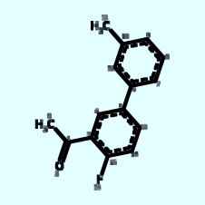 CC(=O)c1cc(-c2cccc(C)c2)ccc1F